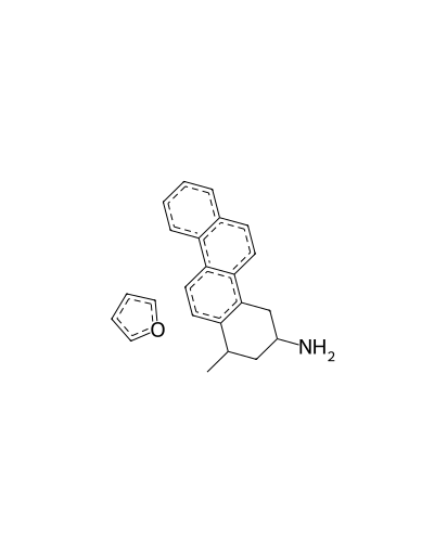 CC1CC(N)Cc2c1ccc1c2ccc2ccccc21.c1ccoc1